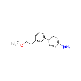 COCCc1cccc(-c2ccc(N)cc2)c1